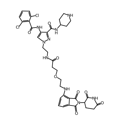 O=C(CCOCCNc1cccc2c1C(=O)N(C1CCC(=O)NC1=O)C2=O)NCCn1cc(NC(=O)c2c(Cl)cccc2Cl)c(C(=O)NC2CCNCC2)n1